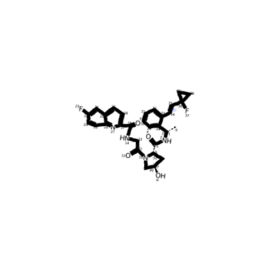 C[C@H](NC(=O)[C@@H]1C[C@@H](O)CN1C(=O)CNC(=O)c1ccc2cc(F)ccc2n1)c1ccccc1/C=C/C1(F)CC1